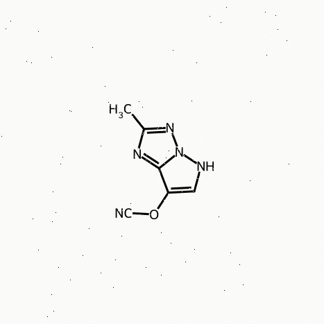 Cc1nc2c(OC#N)c[nH]n2n1